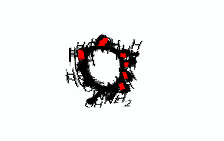 CC(C)NCc1ccc(CC2N=C(O)[C@H](Cc3c[nH]c4ccccc34)N=C(O)[C@H](Cc3ccccc3)N=C(O)C(Cc3ccccc3)N=C(O)[C@H](CCCCN)N=C(O)[C@H](NC(=O)[C@H](N)Cc3ccc(O)cc3)CSSC[C@H](C(=O)O)N=C(O)[C@@H](CO)N=C(O)[C@H](C(C)O)N=C(O)[C@@H](Cc3ccccc3)N=C(O)[C@H]([C@@H](C)O)N=C2O)cc1